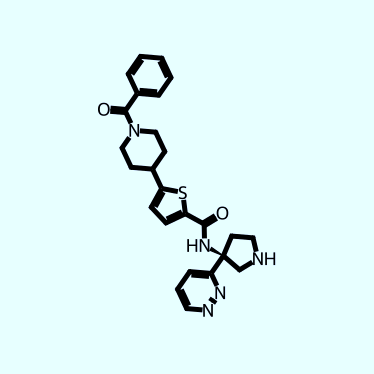 O=C(N[C@@]1(c2cccnn2)CCNC1)c1ccc(C2CCN(C(=O)c3ccccc3)CC2)s1